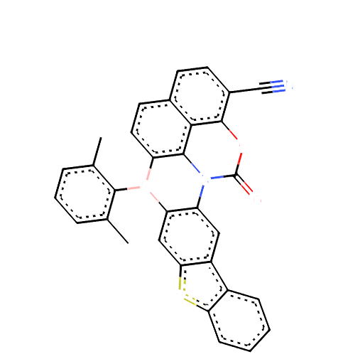 Cc1cccc(C)c1B1c2cc3sc4ccccc4c3cc2N2C(=O)Oc3c(C#N)ccc4ccc1c2c34